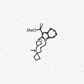 COC(=O)c1c(C)n(CCCC2(N(C)C3COC3)CCC2)c2ccccc12